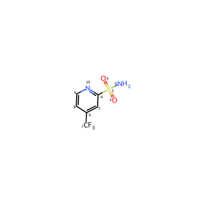 NS(=O)(=O)c1cc(C(F)(F)F)ccn1